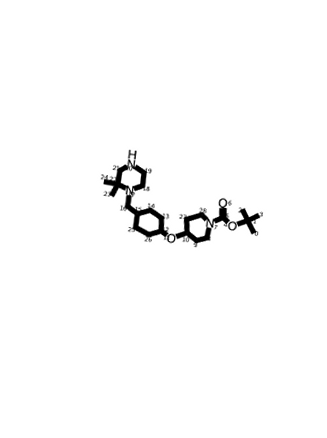 CC(C)(C)OC(=O)N1CCC(OC2CCC(CN3CCNCC3(C)C)CC2)CC1